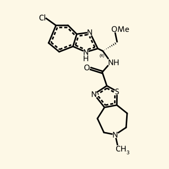 COC[C@H](NC(=O)c1nc2c(s1)CCN(C)CC2)c1nc2cc(Cl)ccc2[nH]1